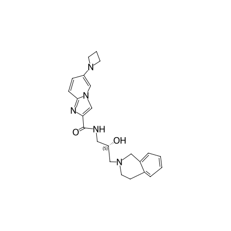 O=C(NC[C@H](O)CN1CCc2ccccc2C1)c1cn2cc(N3CCC3)ccc2n1